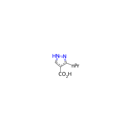 CCCc1n[nH]cc1C(=O)O